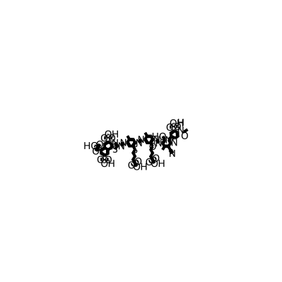 CC(=O)Nc1cc2nc3c(C#N)c(C)c(N=Nc4cc(C)c(N=Nc5cc(C)c(N=Nc6nc7c(S(=O)(=O)O)cc8c(S(=O)(=O)O)cc(S(=O)(=O)O)cc8c7s6)cc5SCCCS(=O)(=O)O)cc4OCCCS(=O)(=O)O)c(O)n3c2cc1S(=O)(=O)O